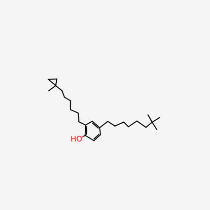 CC(C)(C)CCCCCCc1ccc(O)c(CCCCCCC2(C)CC2)c1